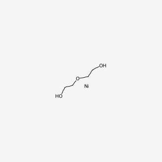 OCCOCCO.[Ni]